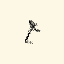 CCCCCCCCCCCCCCCCOCOP(=O)(OCCBr)OP(=O)(OCC)OCC